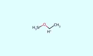 CCO[SiH3].[H+]